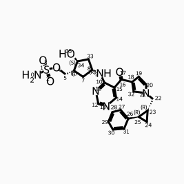 NS(=O)(=O)OC[C@H]1C[C@@H](Nc2ncncc2C(=O)c2ccn(C[C@@H]3C[C@H]3c3ccccc3)c2)C[C@@H]1O